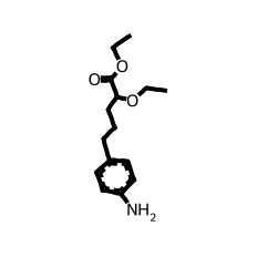 CCOC(=O)C(CCCc1ccc(N)cc1)OCC